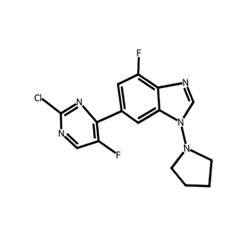 Fc1cnc(Cl)nc1-c1cc(F)c2ncn(N3CCCC3)c2c1